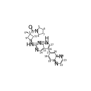 C[C@]1(C(=O)N2CCCC2)C[C@H](Nc2ncc3c(-c4ccc5nccnc5c4)c[nH]c3n2)C1